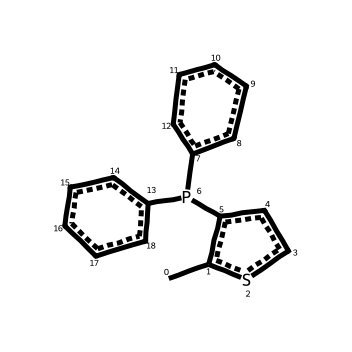 Cc1sccc1P(c1ccccc1)c1ccccc1